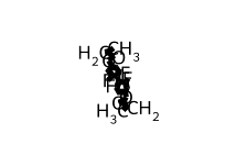 C=C(C)C(=O)Oc1cc(F)c(-c2c(F)cc(OC(=O)C(=C)C)cc2F)c(F)c1